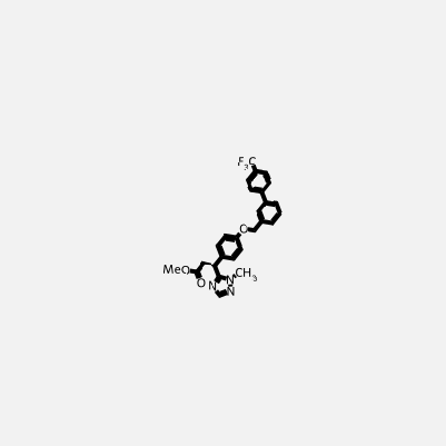 COC(=O)C[C@@H](c1ccc(OCc2cccc(-c3ccc(C(F)(F)F)cc3)c2)cc1)c1ncnn1C